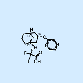 O=C(O)C(F)(F)F.c1cnc(O[C@H]2C[C@H]3CCC[C@@H](C2)N3)cn1